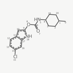 CC1CCC(NC(=O)Oc2cc3ccc(Cl)cc3[nH]2)CC1